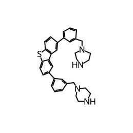 c1cc(CN2CCNCC2)cc(-c2ccc3sc4ccc(-c5cccc(CN6CCNCC6)c5)cc4c3c2)c1